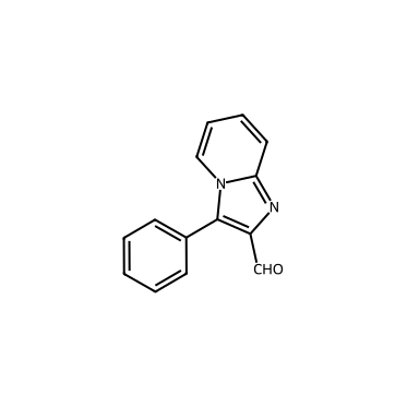 O=Cc1nc2ccccn2c1-c1ccccc1